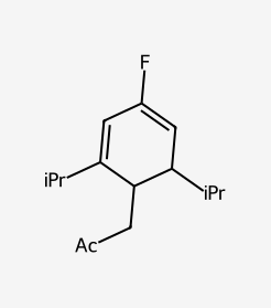 CC(=O)CC1C(C(C)C)=CC(F)=CC1C(C)C